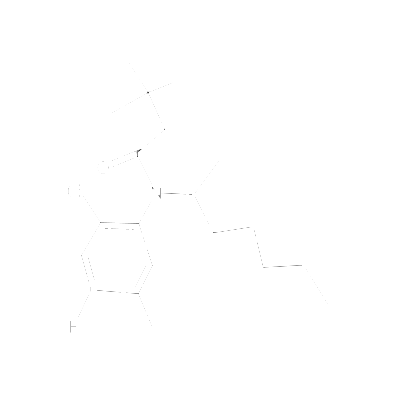 CCCCCC(C)N(C(=O)CC(C)(C)C)c1cc(C)c(F)cc1Cl